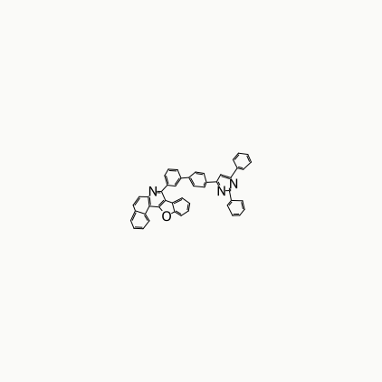 c1ccc(-c2cc(-c3ccc(-c4cccc(-c5nc6ccc7ccccc7c6c6oc7ccccc7c56)c4)cc3)nc(-c3ccccc3)n2)cc1